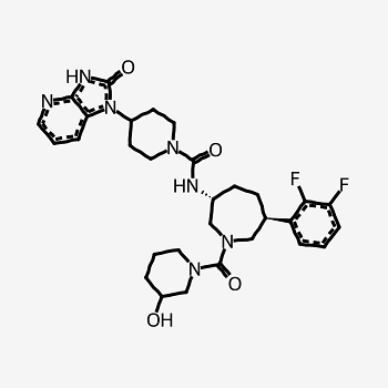 O=C(N[C@@H]1CC[C@@H](c2cccc(F)c2F)CN(C(=O)N2CCCC(O)C2)C1)N1CCC(n2c(=O)[nH]c3ncccc32)CC1